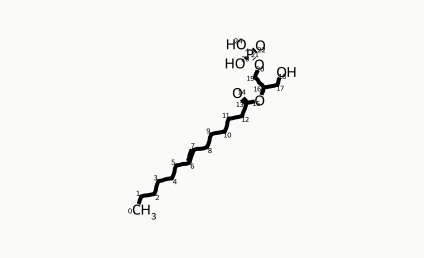 CCCCCCC=CCCCCCC(=O)OC(CO)COP(=O)(O)O